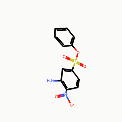 Nc1cc(S(=O)(=O)Oc2ccccc2)ccc1[N+](=O)[O-]